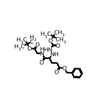 CC(C)(C)OC(=O)CNC(=O)C(CCC(=O)OCc1ccccc1)NNC(=O)OC(C)(C)C